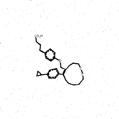 O=C(O)CCCc1ccc(OC/C2=C(\c3ccc(C4CC4)cc3)CCCCCCCCCC2)cc1